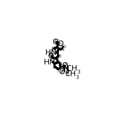 CN(C)S(=O)(=O)c1ccc2c(c1)/C(=C/c1[nH]cc3c1CCOC3=O)C(=O)N2